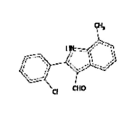 Cc1cccc2c(C=O)c(-c3ccccc3Cl)[nH]c12